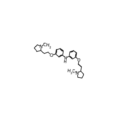 CN1CCCC1CCOc1cccc(Nc2cccc(OCCC3CCCN3C)c2)c1